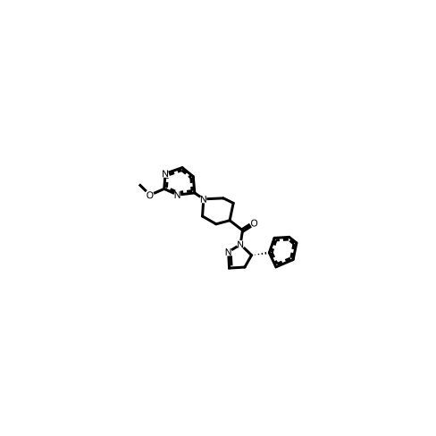 COc1nccc(N2CCC(C(=O)N3N=CC[C@H]3c3ccccc3)CC2)n1